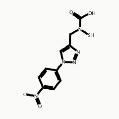 O=C(O)N(S)Cc1cn(-c2ccc([N+](=O)[O-])cc2)nn1